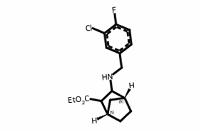 CCOC(=O)C1C(NCc2ccc(F)c(Cl)c2)[C@@H]2CC[C@H]1C2